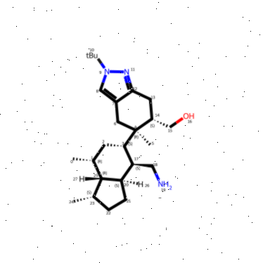 C[C@@H]1C[C@H]([C@@]2(C)Cc3cn(C(C)(C)C)nc3C[C@@H]2CO)[C@@H](CN)[C@H]2CC[C@H](C)[C@@H]21